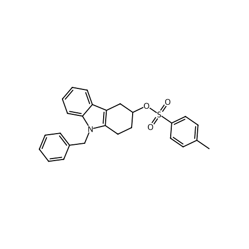 Cc1ccc(S(=O)(=O)OC2CCc3c(c4ccccc4n3Cc3ccccc3)C2)cc1